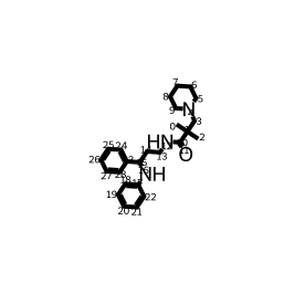 CC(C)(CN1CCCCC1)C(=O)NCCC(Nc1ccccc1)c1ccccc1